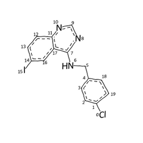 Clc1ccc(CNc2ncnc3ccc(I)cc23)cc1